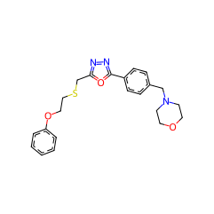 c1ccc(OCCSCc2nnc(-c3ccc(CN4CCOCC4)cc3)o2)cc1